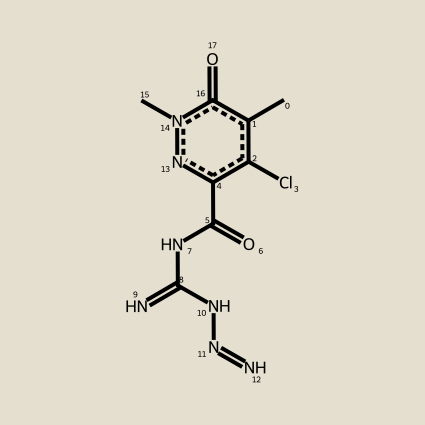 Cc1c(Cl)c(C(=O)NC(=N)NN=N)nn(C)c1=O